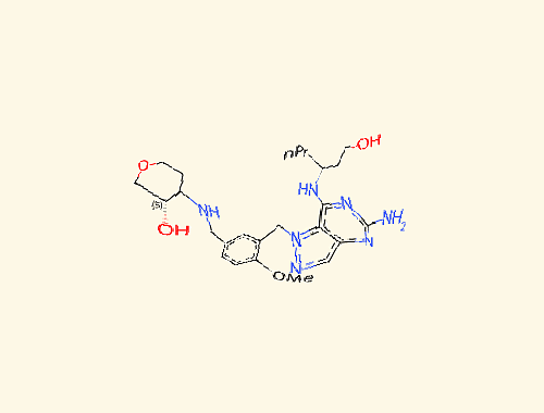 CCCC(CCO)Nc1nc(N)nc2cnn(Cc3cc(CNC4CCOC[C@H]4O)ccc3OC)c12